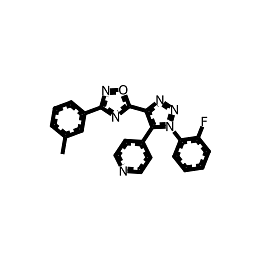 Cc1cccc(-c2noc(-c3nnn(-c4ccccc4F)c3-c3ccncc3)n2)c1